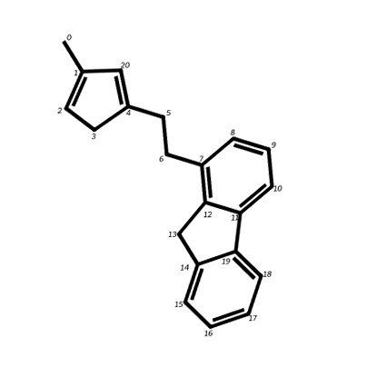 CC1=CCC(CCc2cccc3c2Cc2ccccc2-3)=C1